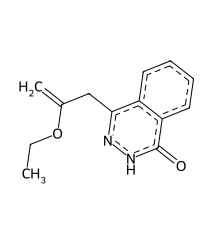 C=C(Cc1n[nH]c(=O)c2ccccc12)OCC